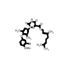 COc1ccc(Oc2c(C)cc(-n3nc(C(=O)OC/C=C(\C)CCC=C(C)C)c(=O)[nH]c3=O)cc2C)cc1Br